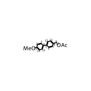 COc1ccc(-c2ccc(COC(C)=O)cc2)cc1